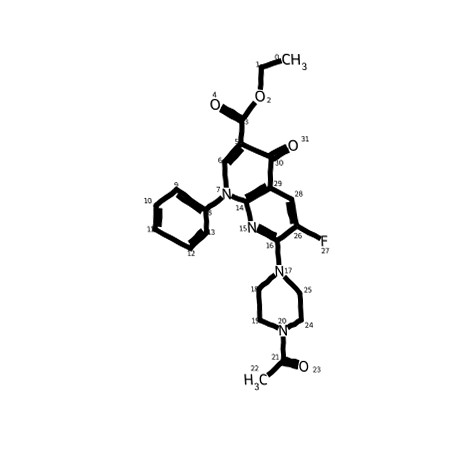 CCOC(=O)c1cn(-c2ccccc2)c2nc(N3CCN(C(C)=O)CC3)c(F)cc2c1=O